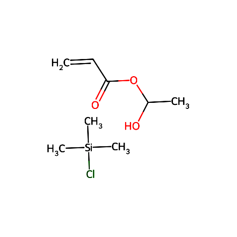 C=CC(=O)OC(C)O.C[Si](C)(C)Cl